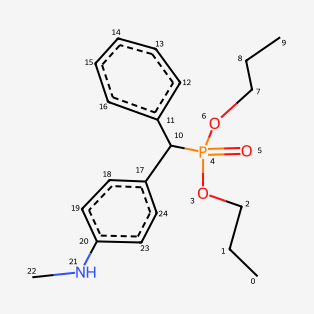 CCCOP(=O)(OCCC)C(c1ccccc1)c1ccc(NC)cc1